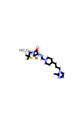 Cc1nccn1CCCC1CCN(C=N[C@@H]2C(=O)N3[C@@H]2SC(C)(C)[C@@H]3C(=O)O)CC1